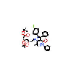 CC(C)c1c(C(=O)Nc2ccccc2)c(-c2ccccc2)c(-c2ccc(F)cc2)n1CC[C@@H]1C[C@H](CC(=O)OC(C)(C)C)OC(C)(C)O1